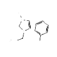 CCCCCCCCCCN1C=CN(C)C1.O=C(O)c1ccccc1